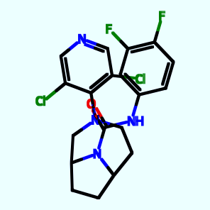 O=C(Nc1ccc(F)c(F)c1)N1C2CCC1CN(c1c(Cl)cncc1Cl)CC2